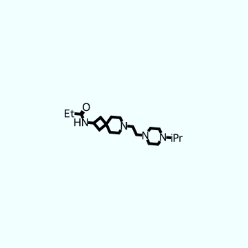 CCC(=O)NC1CC2(CCN(CCN3CCN(C(C)C)CC3)CC2)C1